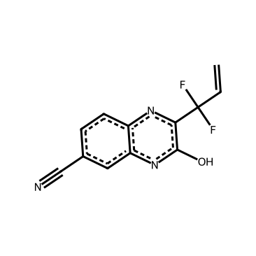 C=CC(F)(F)c1nc2ccc(C#N)cc2nc1O